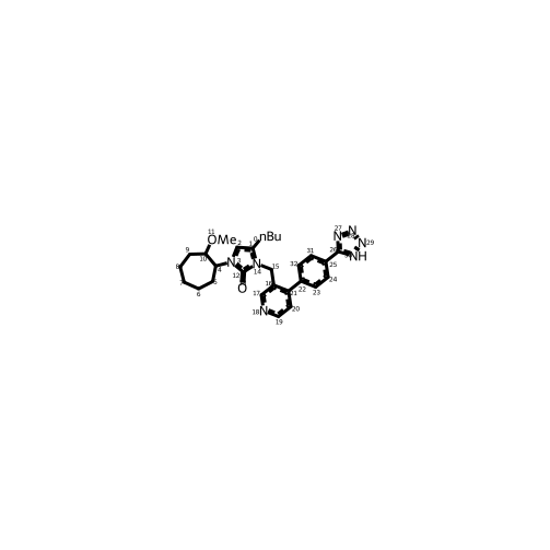 CCCCc1cn(C2CCCCCC2OC)c(=O)n1Cc1cnccc1-c1ccc(-c2nnn[nH]2)cc1